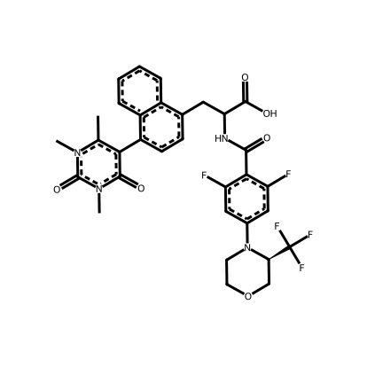 Cc1c(-c2ccc(CC(NC(=O)c3c(F)cc(N4CCOC[C@@H]4C(F)(F)F)cc3F)C(=O)O)c3ccccc23)c(=O)n(C)c(=O)n1C